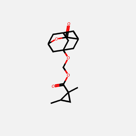 CC1CC1(C)C(=O)OCOC12CC3CC(C1)OC(=O)C(C3)C2